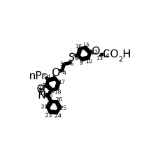 CCCc1c(OCCCSc2ccc(OCC(=O)O)cc2)ccc2c(-c3ccccc3)noc12